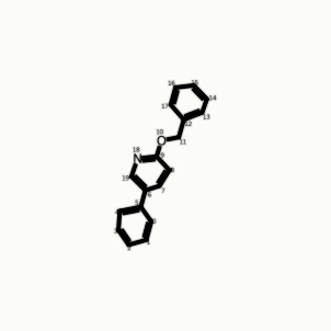 [c]1ccccc1-c1ccc(OCc2ccccc2)nc1